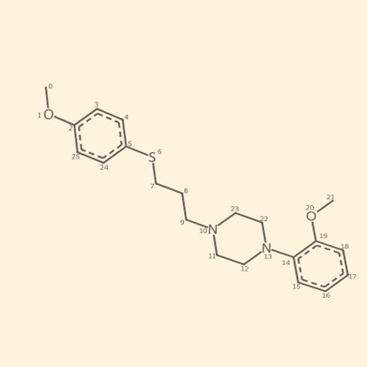 COc1ccc(SCCCN2CCN(c3ccccc3OC)CC2)cc1